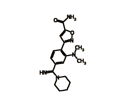 CN(C)c1cc(C(=N)N2CCCCC2)ccc1-c1cc(C(N)=O)on1